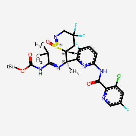 CC(C)(C)OC(=O)NC1=N[C@](C)(c2nc(NC(=O)c3ncc(F)cc3Cl)ccc2F)[C@H]2CC(F)(F)CN=[S@]2(=O)C1(C)C